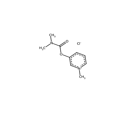 CN(C)C(=O)Oc1ccc[n+](C)c1.[Cl-]